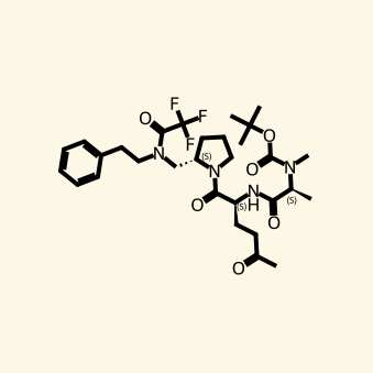 CC(=O)CC[C@H](NC(=O)[C@H](C)N(C)C(=O)OC(C)(C)C)C(=O)N1CCC[C@H]1CN(CCc1ccccc1)C(=O)C(F)(F)F